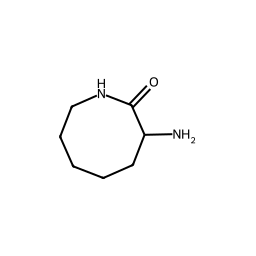 NC1CCCCCNC1=O